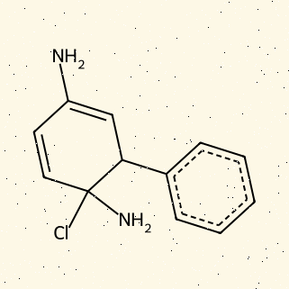 NC1=CC(c2ccccc2)C(N)(Cl)C=C1